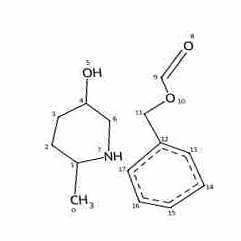 CC1CCC(O)CN1.O=COCc1ccccc1